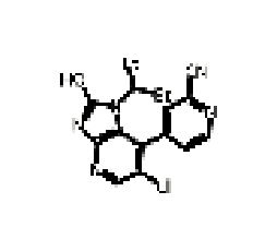 CCC(CC)n1c(O)nc2ncc(Cl)c(-c3ccnc(C#N)c3)c21